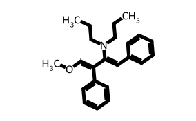 CCCN(CCC)C(=Cc1ccccc1)/C(=[C]/OC)c1ccccc1